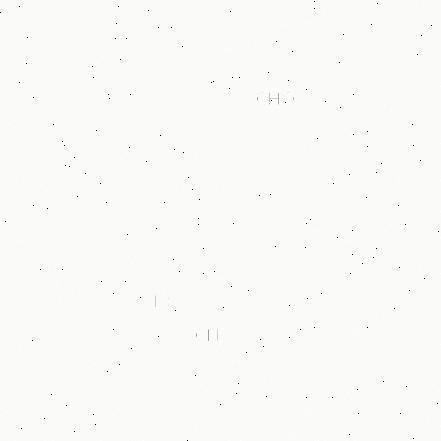 CC1(C)C=C(C=CCCC=O)CCC1